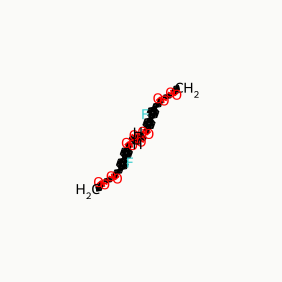 C=CC(=O)OCCOC(=O)CCc1ccc(-c2ccc(C(=O)O[C@H]3CO[C@H]4[C@@H]3OC[C@H]4OC(=O)c3ccc(-c4ccc(CCC(=O)OCCOC(=O)C=C)cc4F)cc3)cc2)c(F)c1